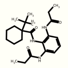 CCC(=O)Nc1cccc(NC(=O)CC)c1NC(=O)C1(C(C)(C)C)CCCCC1